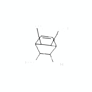 O=C(O)C1C2C=CC(C1C(=O)O)C(C(=O)O)C2C(=O)O